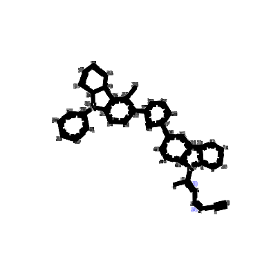 C#C/C=C\C=C(/C)n1c2ccccc2c2cc(-c3cccc(-c4ccc5c(c4C)C4C=CC=CC4N5c4ccccc4)c3)ccc21